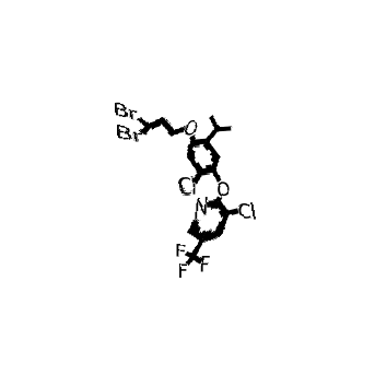 CC(C)c1cc(Oc2ncc(C(F)(F)F)cc2Cl)c(Cl)cc1OCC=C(Br)Br